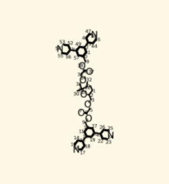 CCC(COCC(=O)OCc1cc(-c2ccncc2)cc(-c2ccncc2)c1)OC(C)(CC)COCC(=O)OCc1cc(-c2ccncc2)cc(-c2ccncc2)c1